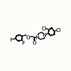 O=C(COCc1ccc(F)cc1F)N1CCN(c2ccc(Cl)cc2Cl)CC1